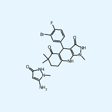 Cn1[nH]c(=O)c2c1NC1=C(C(=O)C(C)(C)CC1)C2c1ccc(F)c(Br)c1.Cn1[nH]c(=O)cc1N